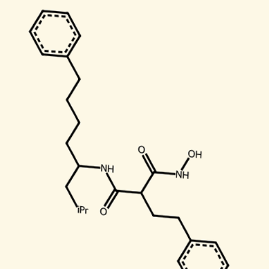 CC(C)CC(CCCCc1ccccc1)NC(=O)C(CCc1ccccc1)C(=O)NO